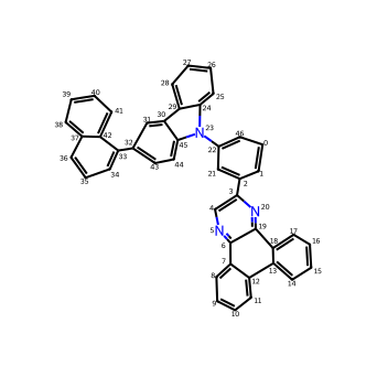 c1cc(-c2cnc3c4ccccc4c4ccccc4c3n2)cc(-n2c3ccccc3c3cc(-c4cccc5ccccc45)ccc32)c1